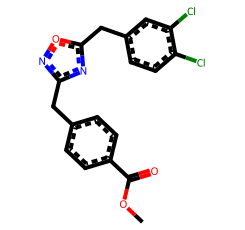 COC(=O)c1ccc(Cc2noc(Cc3ccc(Cl)c(Cl)c3)n2)cc1